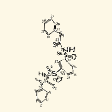 O=S(=S)(NC(=S)Sc1ccccc1)c1cccc(S(=O)(=S)NC(=S)Sc2ccccc2)c1